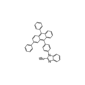 CC(C)(C)c1nc2ccccc2n1-c1ccc(-c2c3ccccc3c(-c3ccccc3)c3ccc(-c4ccccc4)cc23)cc1